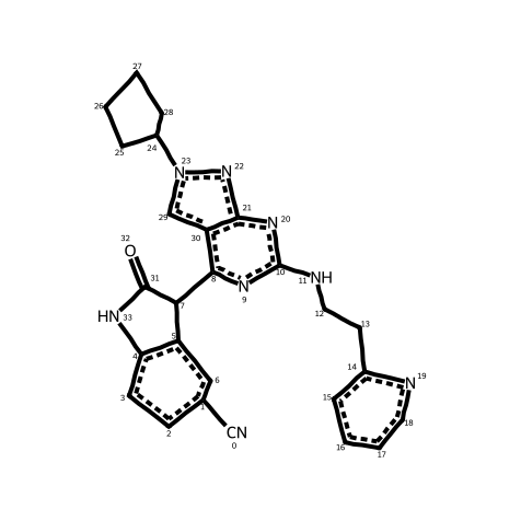 N#Cc1ccc2c(c1)C(c1nc(NCCc3ccccn3)nc3nn(C4CCCC4)cc13)C(=O)N2